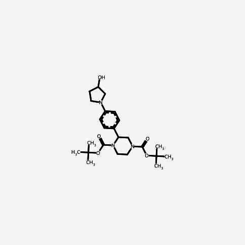 CC(C)(C)OC(=O)N1CCN(C(=O)OC(C)(C)C)C(c2ccc(N3CCC(O)C3)cc2)C1